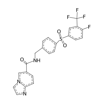 O=C(NCc1ccc(S(=O)(=O)c2ccc(F)c(C(F)(F)F)c2)cc1)c1ccc2nccn2c1